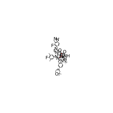 Cc1cc(-n2nc3c(c2-n2ccn(-c4ccc5c(cnn5C)c4F)c2=O)[C@@H]2CC[C@H](C3)N2Cc2cc3cc([C@H]4CCOC(C)(C)C4)ccc3n2[C@@]2(c3noc(=O)[nH]3)C[C@@H]2C)cc(C)c1F